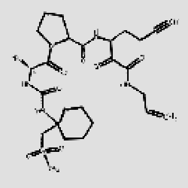 C#CCCC(NC(=O)C1CCCN1C(=O)[C@@H](NC(=O)NC1(CS(=O)(=O)C(C)(C)C)CCCCC1)C(C)(C)C)C(=O)C(=O)NCC=C